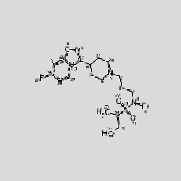 CCN(CCCN1CCC(c2noc3cc(F)ccc23)CC1)S(=O)(=O)C(C)CO